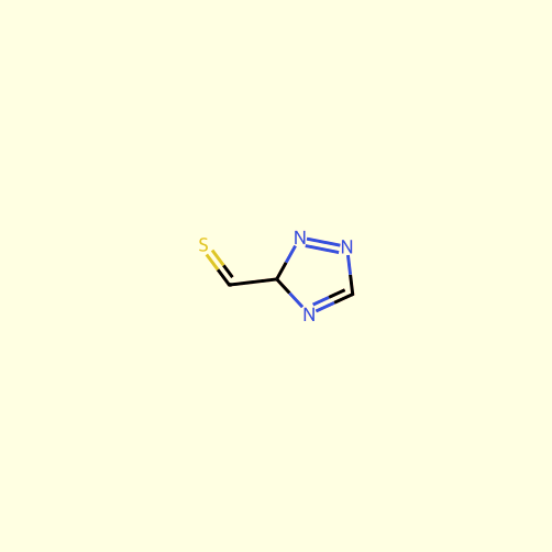 S=CC1N=CN=N1